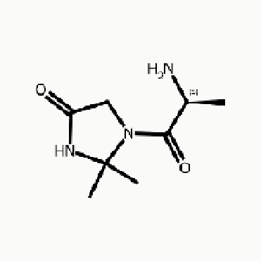 C[C@H](N)C(=O)N1CC(=O)NC1(C)C